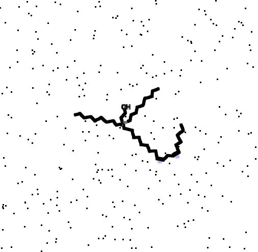 CCCCC/C=C\C/C=C\CCCCCCCC[N+](CCO)(CCCCCCCCC)CCCCCCCCC